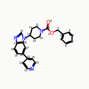 O=C(OCc1ccccc1)N1CCC(n2cnc3ccc(-c4ccncc4)cc32)CC1